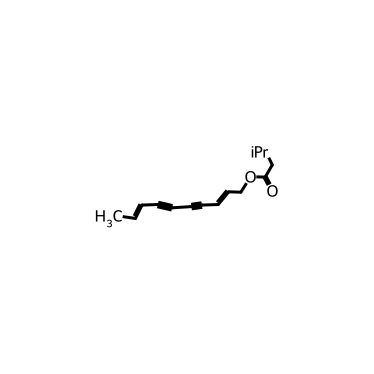 CC=CC#CC#CC=CCOC(=O)CC(C)C